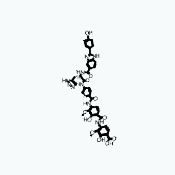 COc1c(NC(=O)c2ccc(NC(=O)c3ccc(NC(=O)[C@H](Cc4cnn[nH]4)NC(=O)c4ccc5[nH]c(-c6ccc(O)cc6)nc5c4)cn3)c(OC)c2O)ccc(C(=O)O)c1O